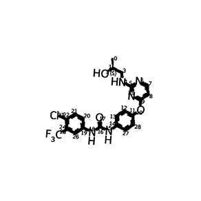 C[C@H](O)CNc1nccc(Oc2ccc(NC(=O)Nc3ccc(Cl)c(C(F)(F)F)c3)cc2)n1